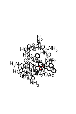 CNC(=O)c1ccccc1Sc1ccc2c(/C=C/c3ccccn3)nn(C(=O)N(CCOC(C)=O)CCC(=O)N[C@@H](CCN)C(=O)N[C@H](C(=O)N[C@@H](CCN)C(=O)N[C@H]3CCNC(=O)[C@H]([C@@H](C)O)NC(=O)[C@H](CCN)NC(=O)[C@H](CCN)NC(=O)[C@H](CC(C)C)NC(=O)[C@@H](Cc4ccccc4)NC(=O)[C@H](CCN)NC3=O)[C@@H](C)O)c2c1